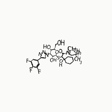 CN(CC(C)(C)F)C(=O)[C@H](S[C@@H]1O[C@H](CO)[C@H](O)[C@H](n2cc(-c3cc(F)c(F)c(F)c3)nn2)[C@H]1O)C1(O)CCCCC1